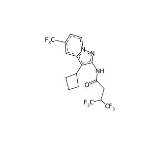 O=C(CC(C(F)(F)F)C(F)(F)F)Nc1nn2ccc(C(F)(F)F)cc2c1C1CCC1